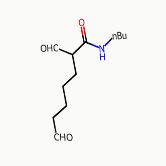 CCCCNC(=O)C(C=O)CCCCC=O